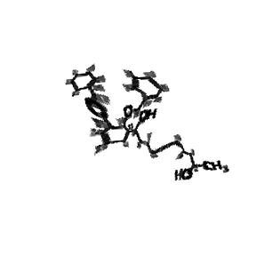 CC(O)CCCCCCC(O)c1cccc(OCc2ccccc2)c1OCc1ccccc1